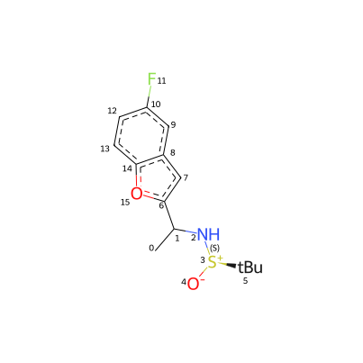 CC(N[S@+]([O-])C(C)(C)C)c1cc2cc(F)ccc2o1